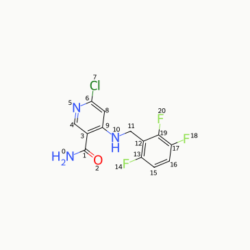 NC(=O)c1cnc(Cl)cc1NCc1c(F)ccc(F)c1F